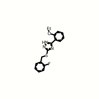 CCOc1ccccc1-c1nc(SCc2ccccc2F)n[nH]1